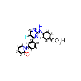 O=c1ccccn1-c1cccc(-c2nc(N[C@H]3CC[C@H](C(=O)O)CC3)ncc2F)c1